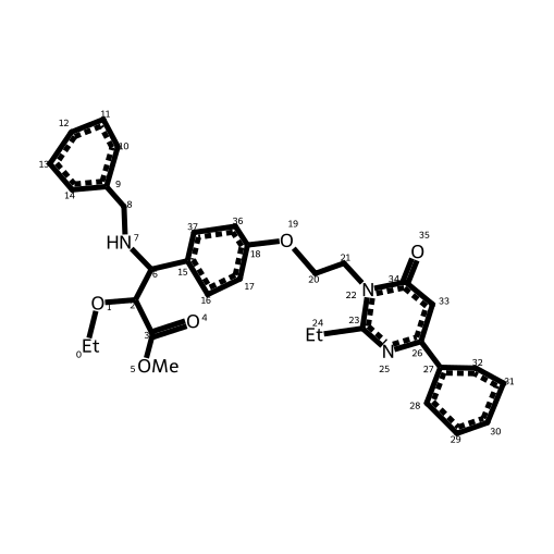 CCOC(C(=O)OC)C(NCc1ccccc1)c1ccc(OCCn2c(CC)nc(-c3ccccc3)cc2=O)cc1